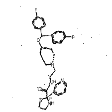 O=C(NCCN1CCC(OC(c2ccc(F)cc2)c2ccc(F)cc2)CC1)[C@]1(c2cccnc2)NCCS1